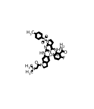 COc1cc2c(cc1Nc1nc(Nc3cccc(F)c3C(N)=O)c3ccn(S(=O)(=O)c4ccc(C)cc4)c3n1)N(C(=O)CN(C)C)CC2